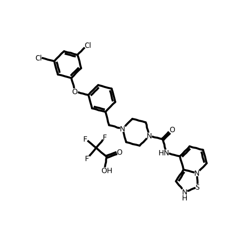 O=C(NC1=CC=CN2SNC=C12)N1CCN(Cc2cccc(Oc3cc(Cl)cc(Cl)c3)c2)CC1.O=C(O)C(F)(F)F